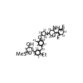 CCc1ccc(C2CC(O)CC(SC)O2)cc1Cc1ccc(OC2CCN(C3COC(C4=C(F)CCC(F)=C4)C(N)C3)C2)c(C)c1